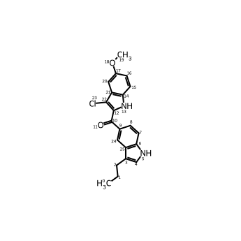 CCCc1c[nH]c2ccc(C(=O)c3[nH]c4ccc(OC)cc4c3Cl)cc12